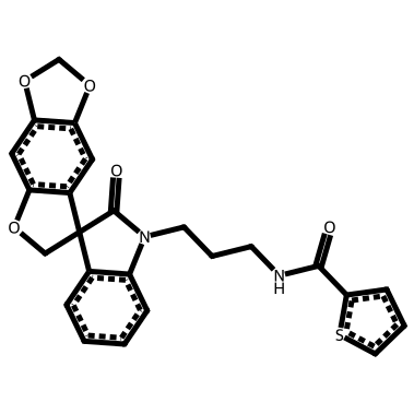 O=C(NCCCN1C(=O)C2(COc3cc4c(cc32)OCO4)c2ccccc21)c1cccs1